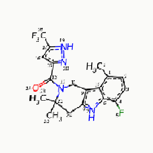 Cc1ccc(F)c2[nH]c3c(c12)CN(C(=O)c1cc(C(F)(F)F)[nH]n1)C(C)(C)C3